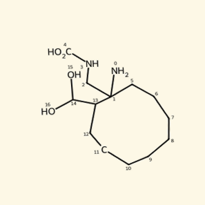 NC1(CNC(=O)O)CCCCCCCCC1C(O)O